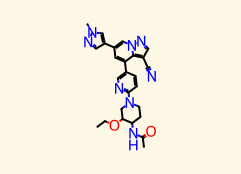 CCOC1CN(c2ccc(-c3cc(-c4cnn(C)c4)cn4ncc(C#N)c34)cn2)CCC1NC(C)=O